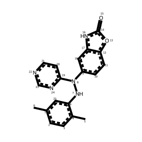 Cc1ccc(C)c(NN(c2ccc3oc(=O)[nH]c3c2)c2ccncn2)c1